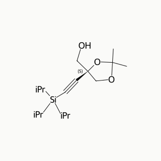 CC(C)[Si](C#C[C@]1(CO)COC(C)(C)O1)(C(C)C)C(C)C